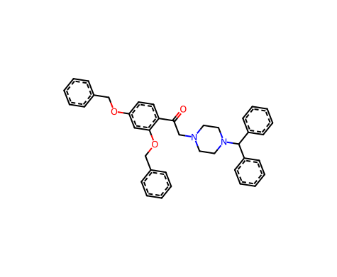 O=C(CN1CCN(C(c2ccccc2)c2ccccc2)CC1)c1ccc(OCc2ccccc2)cc1OCc1ccccc1